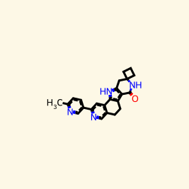 Cc1ccc(-c2cc3c(cn2)CCc2c-3[nH]c3c2C(=O)NC2(CCC2)C3)cn1